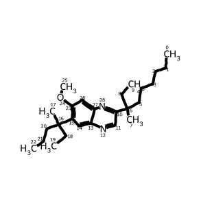 CCCCCCC(C)(CC)c1cnc2cc(C(C)(CC)CCC)c(OC)cc2n1